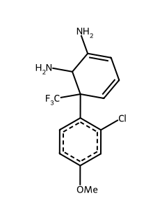 COc1ccc(C2(C(F)(F)F)C=CC=C(N)C2N)c(Cl)c1